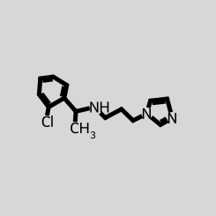 CC(NCCCn1ccnc1)c1ccccc1Cl